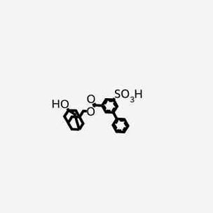 O=C(OCC12CC3CC(CC(O)(C3)C1)C2)c1cc(-c2ccccc2)cc(S(=O)(=O)O)c1